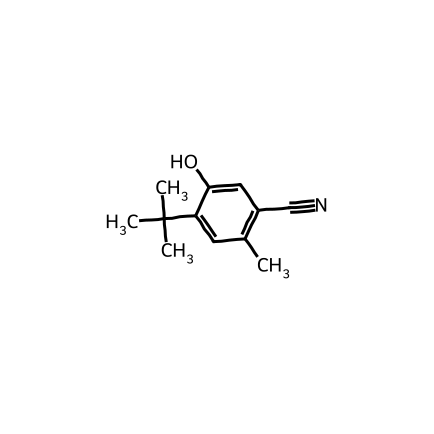 Cc1cc(C(C)(C)C)c(O)cc1C#N